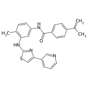 C=C(C)c1ccc(C(=O)Nc2ccc(C)c(Nc3nc(-c4cccnc4)cs3)c2)cc1